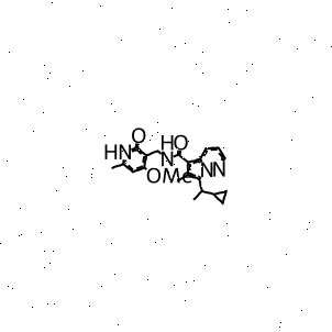 COc1cc(C)[nH]c(=O)c1CNC(=O)c1c(C)c(C(C)C2CC2)n2ncccc12